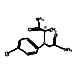 C[C@H](C(N)=O)N(CC(N)=O)c1ccc(Cl)cc1